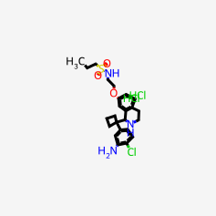 CCCS(=O)(=O)NCCOc1ccc2c(c1)C(C1(c3ccc(Cl)c(N)c3)CCC1)NCC2.Cl.Cl